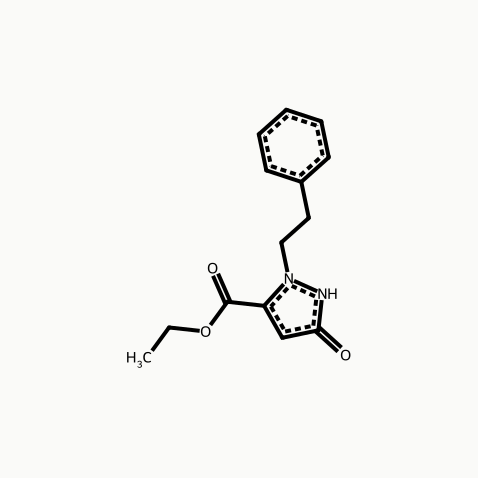 CCOC(=O)c1cc(=O)[nH]n1CCc1ccccc1